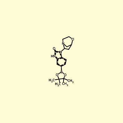 CC1(C)OB(c2ccc3c(c2)[nH]c(=O)n3C2CC3CN2CCO3)OC1(C)C